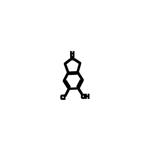 Oc1cc2c(cc1Cl)CNC2